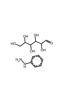 NNc1ccccc1.O=CC(O)C(O)C(O)C(O)CO